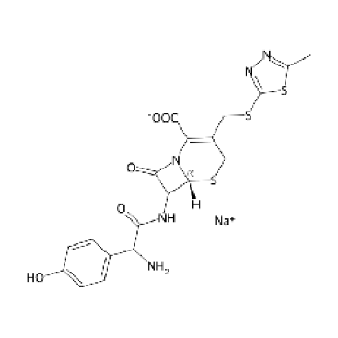 Cc1nnc(SCC2=C(C(=O)[O-])N3C(=O)C(NC(=O)C(N)c4ccc(O)cc4)[C@H]3SC2)s1.[Na+]